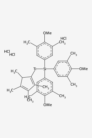 COc1c(C)cc([Si]([Ti][C]2=C(C)C(C)=C(C)C2C)(c2cc(C)c(OC)c(C)c2)c2cc(C)c(OC)c(C)c2)cc1C.Cl.Cl.Cl